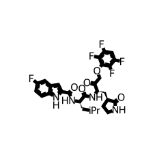 CC(C)C[C@H](NC(=O)c1cc2cc(F)ccc2[nH]1)C(=O)N[C@@H](C[C@@H]1CCNC1=O)C(=O)COc1c(F)c(F)cc(F)c1F